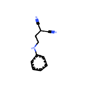 N#CC(C#N)CCNc1ccccc1